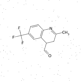 CC1=Nc2ccc(C(F)(F)F)cc2C(C=O)C1